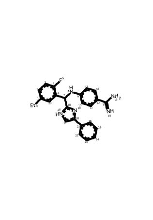 CCc1ccc(F)c(C(Nc2ccc(C(=N)N)cc2)c2nc(-c3ccccc3)c[nH]2)c1